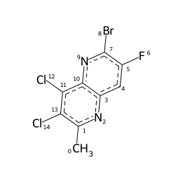 Cc1nc2cc(F)c(Br)nc2c(Cl)c1Cl